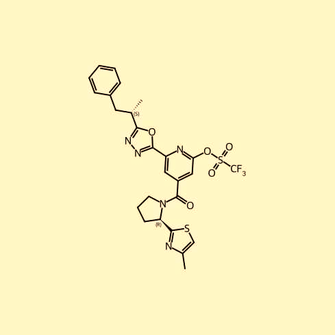 Cc1csc([C@H]2CCCN2C(=O)c2cc(OS(=O)(=O)C(F)(F)F)nc(-c3nnc([C@@H](C)Cc4ccccc4)o3)c2)n1